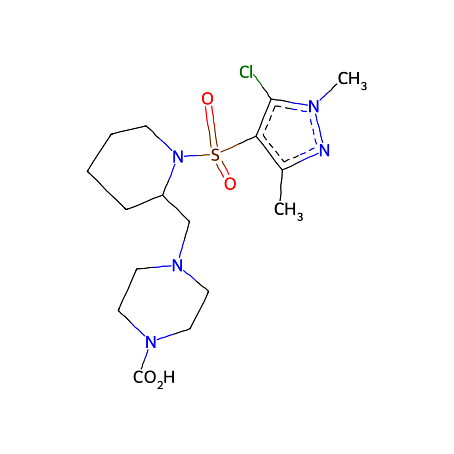 Cc1nn(C)c(Cl)c1S(=O)(=O)N1CCCCC1CN1CCN(C(=O)O)CC1